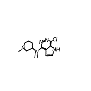 CN1CCCC(Nc2nnc(Cl)c3[nH]ccc23)C1